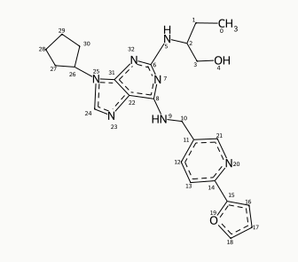 CCC(CO)Nc1nc(NCc2ccc(-c3ccco3)nc2)c2ncn(C3CCCC3)c2n1